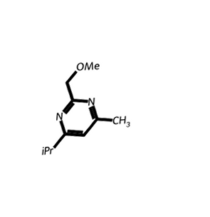 COCc1nc(C)cc(C(C)C)n1